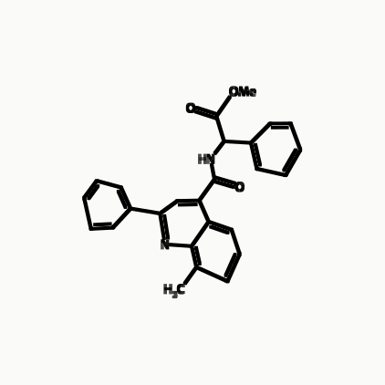 COC(=O)C(NC(=O)c1cc(-c2ccccc2)nc2c(C)cccc12)c1ccccc1